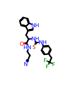 N#CCCNC(=O)C(Cc1c[nH]c2ccccc12)NC(=S)Nc1ccc(CC(F)(F)F)cc1